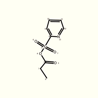 CCC(=O)OS(=O)(=O)c1ccccn1